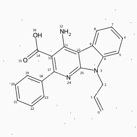 C=CCn1c2ccccc2c2c(N)c(C(=O)O)c(-c3ccccc3)nc21